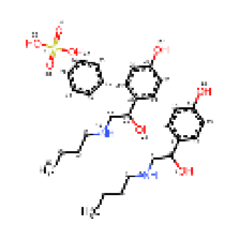 CCCCNCC(O)c1ccc(O)cc1.CCCCNCC(O)c1ccc(O)cc1.O=S(=O)(O)O.c1ccccc1